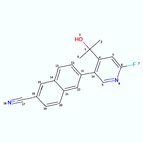 CC(C)(O)c1cc(F)ncc1-c1ccc2cc(C#N)ccc2c1